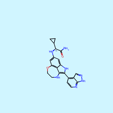 NC(=O)[C@@H](Nc1cc2c3c(c(-c4ccnc5[nH]ncc45)[nH]c3c1)NCCO2)C1CC1